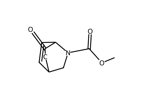 COC(=O)N1CC2C=CC1C(=O)C2